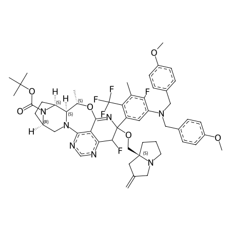 C=C1CN2CCC[C@@]2(COC2(c3cc(N(Cc4ccc(OC)cc4)Cc4ccc(OC)cc4)c(F)c(C)c3C(F)(F)F)N=C3O[C@@H](C)[C@@H]4[C@@H]5CC[C@H](CN4c4ncnc(c43)C2F)N5C(=O)OC(C)(C)C)C1